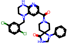 O=C(c1cnc2c(c1)N(Cc1cc(Cl)ccc1Cl)CCN2)N1CCC2(CC1)C(=O)NCN2c1ccccc1